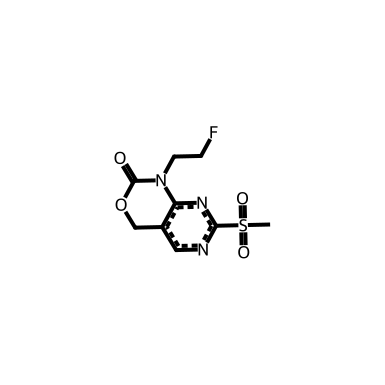 CS(=O)(=O)c1ncc2c(n1)N(CCF)C(=O)OC2